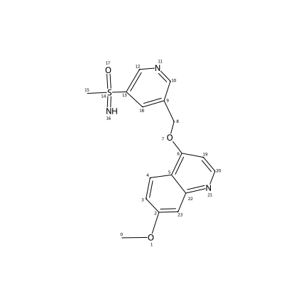 COc1ccc2c(OCc3cncc(S(C)(=N)=O)c3)ccnc2c1